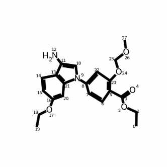 CCOC(=O)c1ccc(-n2cc(N)c3ccc(OCC)cc32)cc1OCOC